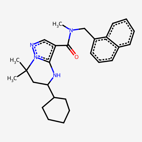 CN(Cc1cccc2ccccc12)C(=O)c1cnn2c1NC(C1CCCCC1)CC2(C)C